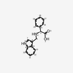 O=C(O)[C@@H](NCc1c[nH]c2ccccc12)c1ccccc1